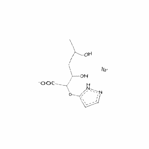 CC(O)CC(O)C(Oc1ccn[nH]1)C(=O)[O-].[Na+]